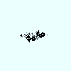 C[C@H]([C@@H](C(=O)Nc1cc([C@@H](CC(=O)OC(C)(C)C)C2CC2)ccc1Cl)c1ccc2cc(Cl)ccc2c1)C(F)(F)F